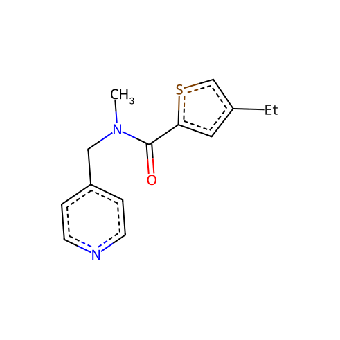 CCc1csc(C(=O)N(C)Cc2ccncc2)c1